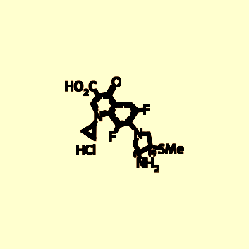 CS[C@@H]1CN(c2c(F)cc3c(=O)c(C(=O)O)cn(C4CC4)c3c2F)C[C@H]1N.Cl